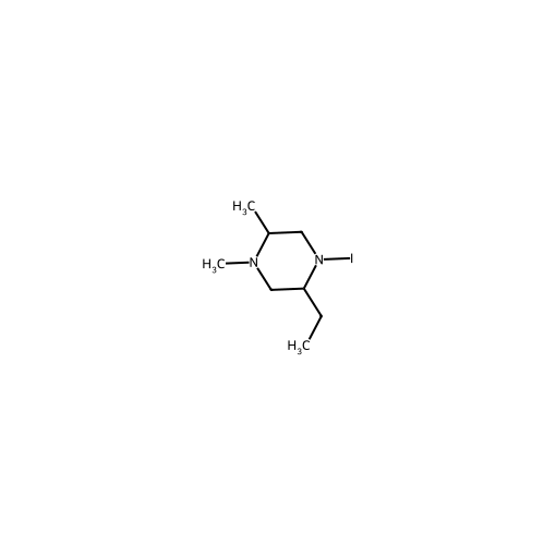 CCC1CN(C)C(C)CN1I